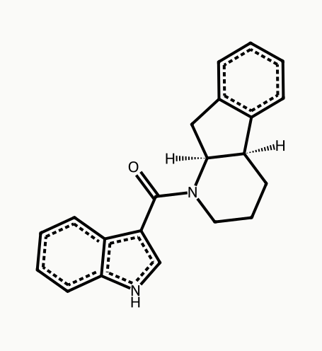 O=C(c1c[nH]c2ccccc12)N1CCC[C@@H]2c3ccccc3C[C@@H]21